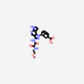 COCCNC(=O)C(=O)Nc1nn(C2C3CC4CC2CC(C(=O)OC)(C4)C3)c2c1cnc1[nH]ccc12